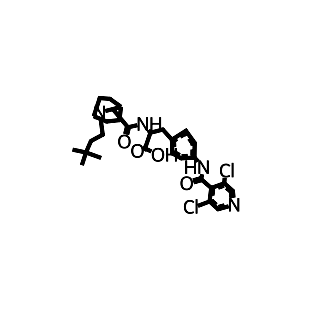 CC(C)(C)CCN1C2CCC(CC2)C1C(=O)NC(Cc1ccc(NC(=O)c2c(Cl)cncc2Cl)cc1)C(=O)O